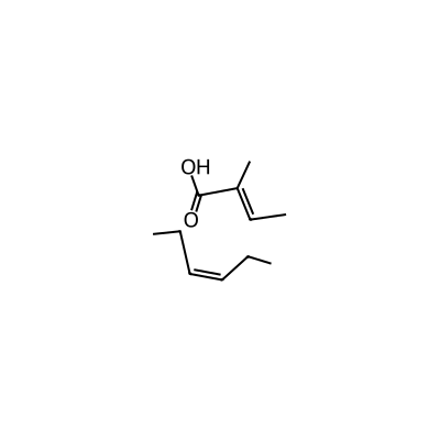 C/C=C(\C)C(=O)O.CC/C=C\CC